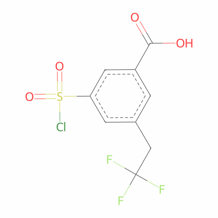 O=C(O)c1cc(CC(F)(F)F)cc(S(=O)(=O)Cl)c1